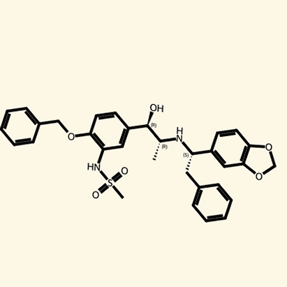 C[C@@H](N[C@@H](Cc1ccccc1)c1ccc2c(c1)OCO2)[C@H](O)c1ccc(OCc2ccccc2)c(NS(C)(=O)=O)c1